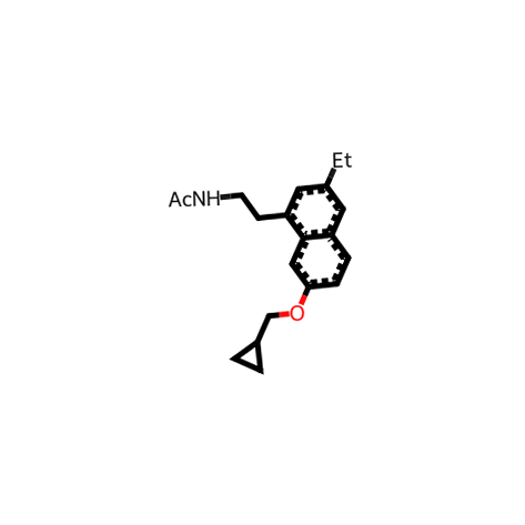 CCc1cc(CCNC(C)=O)c2cc(OCC3CC3)ccc2c1